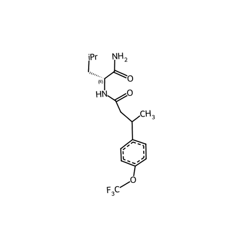 CC(C)C[C@@H](NC(=O)CC(C)c1ccc(OC(F)(F)F)cc1)C(N)=O